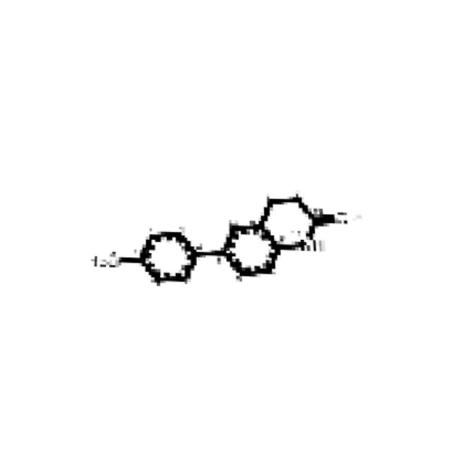 CC(C)(C)c1ccc(-c2ccc3c(c2)CCC(=O)N3)cc1